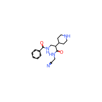 N#CCNC(=O)C(CNC(=O)c1ccccc1)C1CCNCC1